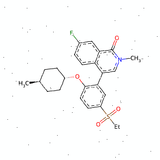 CCS(=O)(=O)c1ccc(O[C@H]2CC[C@H](C)CC2)c(-c2cn(C)c(=O)c3cc(F)ccc23)c1